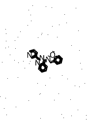 COc1ccccc1CN(C)c1nc(-c2cccnc2)nc2ccccc12